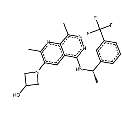 Cc1nc2c(C)nnc(N[C@H](C)c3cccc(C(F)(F)F)c3)c2cc1N1CC(O)C1